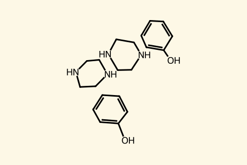 C1CNCCN1.C1CNCCN1.Oc1ccccc1.Oc1ccccc1